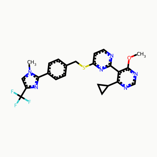 COc1ncnc(C2CC2)c1-c1nccc(SCc2ccc(-c3nc(C(F)(F)F)cn3C)cc2)n1